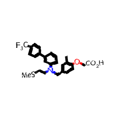 CSCCN(Cc1ccc(OCC(=O)O)c(C)c1)c1cccc(-c2ccc(C(F)(F)F)cc2)c1